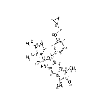 Cc1c(S(=O)(=O)Nc2cc3c(cc2Oc2cccc(OCC4CC4)c2)n(C)c(=O)n3C)cnn1C